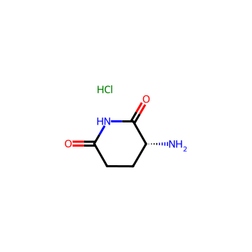 Cl.N[C@@H]1CCC(=O)NC1=O